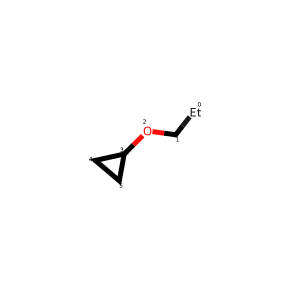 CCCO[C]1CC1